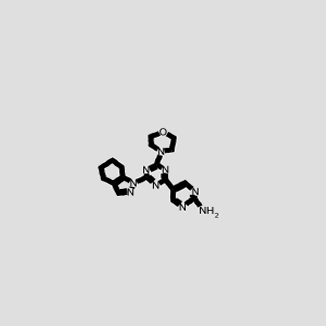 Nc1ncc(-c2nc(N3CCOCC3)nc(-n3ncc4c3CCCC4)n2)cn1